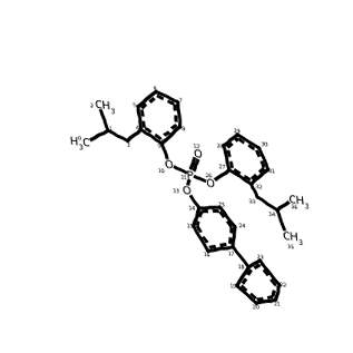 CC(C)Cc1ccccc1OP(=O)(Oc1ccc(-c2ccccc2)cc1)Oc1ccccc1CC(C)C